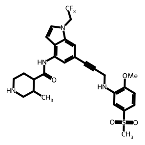 COc1ccc(S(C)(=O)=O)cc1NCC#Cc1cc(NC(=O)C2CCNCC2C)c2ccn(CC(F)(F)F)c2c1